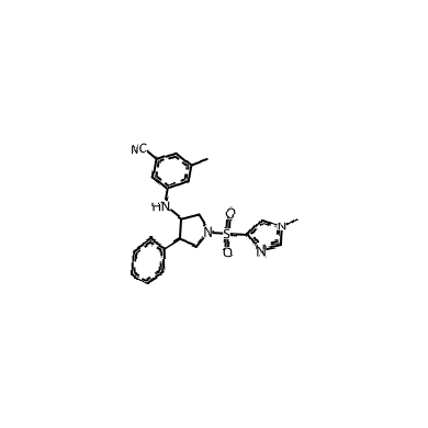 Cc1cc(C#N)cc(NC2CN(S(=O)(=O)c3cn(C)cn3)CC2c2ccccc2)c1